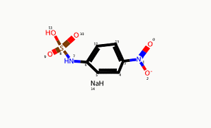 O=[N+]([O-])c1ccc(NS(=O)(=O)O)cc1.[NaH]